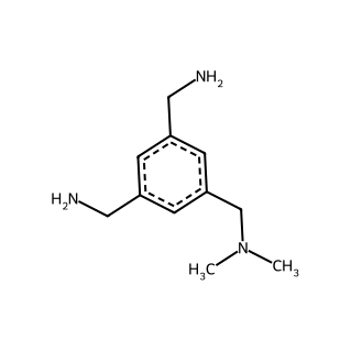 CN(C)Cc1cc(CN)cc(CN)c1